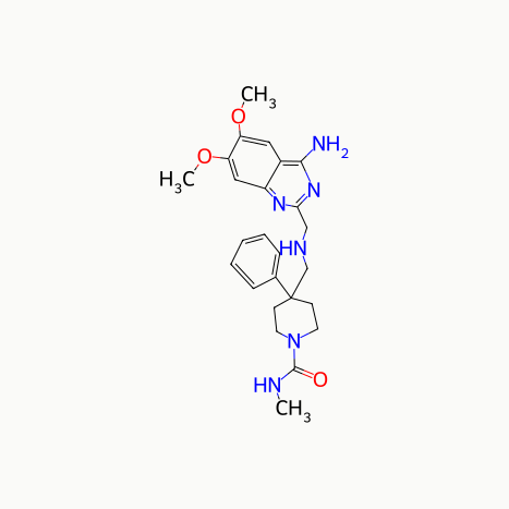 CNC(=O)N1CCC(CNCc2nc(N)c3cc(OC)c(OC)cc3n2)(c2ccccc2)CC1